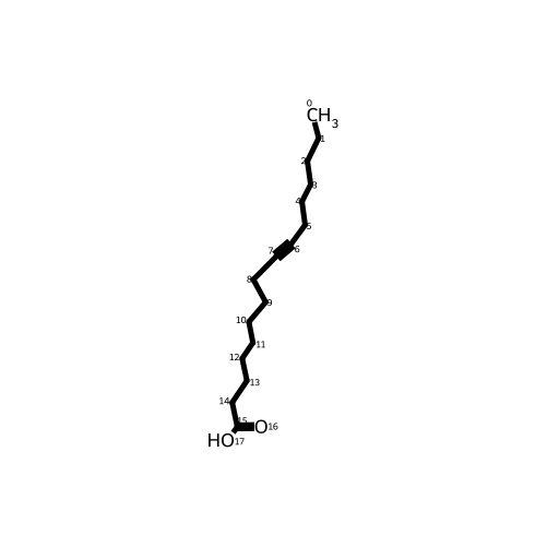 CCCCCCC#CCCCCCCCC(=O)O